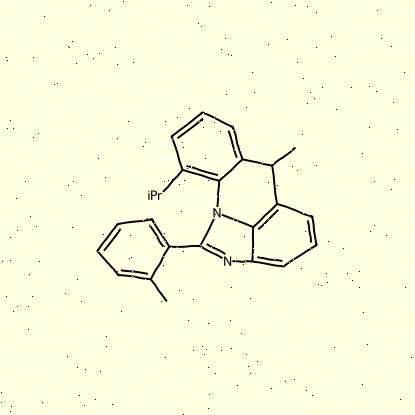 Cc1ccccc1-c1nc2cccc3c2n1-c1c(C(C)C)cccc1C3C